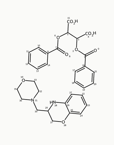 O=C(OC(C(=O)O)C(OC(=O)c1ccccc1)C(=O)O)c1ccccc1.c1ccc2c(c1)NC(CN1CCOCC1)CO2